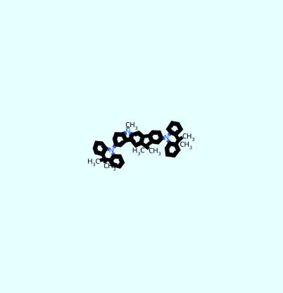 Cn1c2ccc(N3c4ccccc4C(C)(C)c4ccccc43)cc2c2cc3c(cc21)-c1ccc(N2c4ccccc4C(C)(C)c4ccccc42)cc1C3(C)C